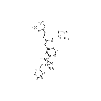 CCN(CC)CCN(CCN(CC)CC)Cc1cccc(S(=O)(=O)N(C)Cc2ccccc2)c1